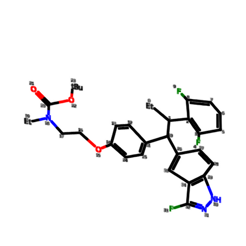 CCC(c1c(F)cccc1F)C(c1ccc(OCCN(CC)C(=O)OC(C)(C)C)cc1)c1ccc2[nH]nc(F)c2c1